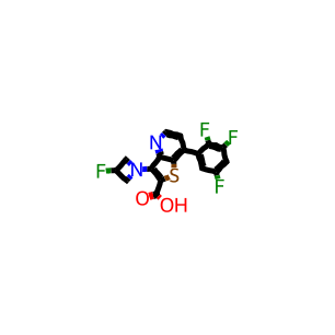 O=C(O)c1sc2c(-c3cc(F)cc(F)c3F)ccnc2c1N1CC(F)C1